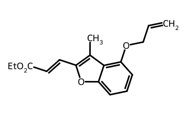 C=CCOc1cccc2oc(/C=C/C(=O)OCC)c(C)c12